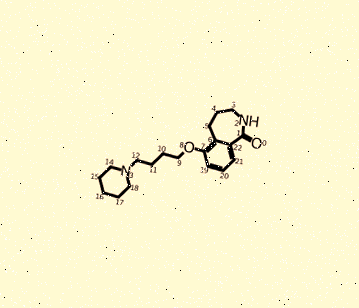 O=C1NCCCc2c(OCCCCN3CCCCC3)cccc21